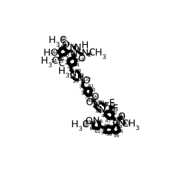 CCNC(=O)c1nnc(-c2cc(C(C)C)c(O)cc2OC)n1-c1ccc(CN2CCN(C(=O)Cc3ccc(OC(=O)N4CCN(c5ccc(-n6c(=O)n(C)c7ccc8ccc(-c9ccc(OC)nc9)cc8c76)cc5C(F)(F)F)CC4)cc3)CC2)cc1